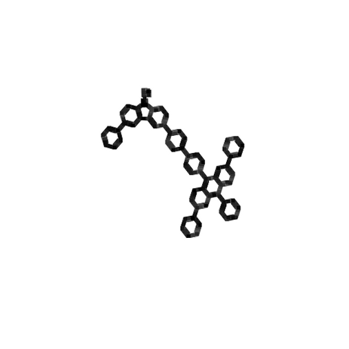 CCn1c2ccc(-c3ccccc3)cc2c2cc(-c3ccc(-c4ccc(-c5c6ccc(-c7ccccc7)cc6c(-c6ccccc6)c6ccc(-c7ccccc7)cc56)cc4)cc3)ccc21